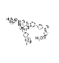 CO[C@H]1CCN(C(=O)c2ccc(-c3ccc4nc(C(C(=O)NCCS(N)(=O)=O)S(=O)(=O)Cc5ccc(OC(F)(F)F)cc5)sc4c3)cc2)C1